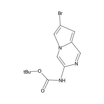 CC(C)(C)OC(=O)Nc1cn2cc(Br)cc2cn1